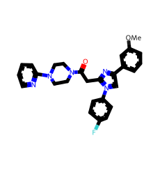 COc1cccc(-c2cn(-c3ccc(F)cc3)c(CC(=O)N3CCN(c4ccccn4)CC3)n2)c1